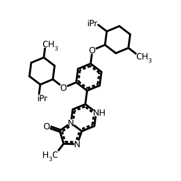 Cc1nc2c[nH]c(-c3ccc(OC4CC(C)CCC4C(C)C)cc3OC3CC(C)CCC3C(C)C)cn-2c1=O